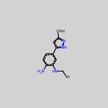 COc1cc(-c2ccc(N)c(NCC(C)C)c2)[nH]n1